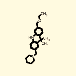 CCOCc1ccc2c(c1)Nc1ccc(CN3CCCCC3)cc1C2(C)C